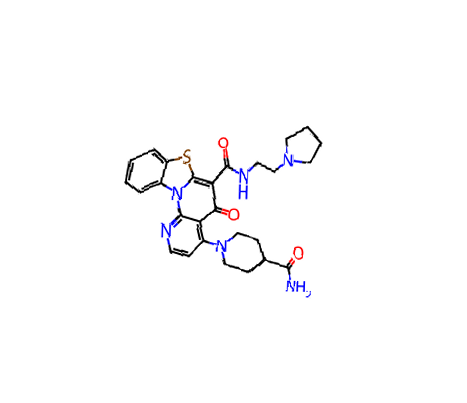 NC(=O)C1CCN(c2ccnc3c2c(=O)c(C(=O)NCCN2CCCC2)c2sc4ccccc4n23)CC1